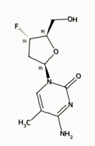 Cc1cn([C@H]2C[C@H](F)[C@@H]([CH]O)O2)c(=O)nc1N